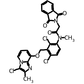 Cc1nc2c(OCc3c(Cl)ccc(N(C)C(=O)CN4C(=O)c5ccccc5C4=O)c3Cl)cccn2c1Cl